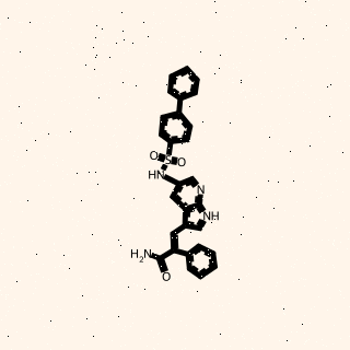 NC(=O)/C(=C/c1c[nH]c2ncc(NS(=O)(=O)c3ccc(-c4ccccc4)cc3)cc12)c1ccccc1